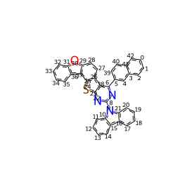 c1ccc2cc(-c3nc(-n4c5ccccc5c5ccccc54)nc4sc5c(ccc6oc7ccccc7c65)c34)ccc2c1